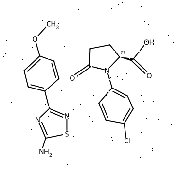 COc1ccc(-c2nsc(N)n2)cc1.O=C(O)[C@@H]1CCC(=O)N1c1ccc(Cl)cc1